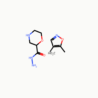 Cc1oncc1C(=O)O.NNC(=O)C1CNCCO1